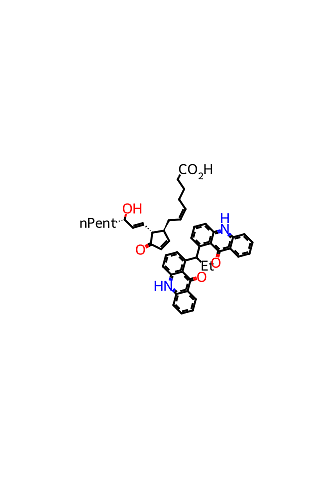 CCCCC[C@H](O)/C=C/[C@H]1C(=O)C=C[C@@H]1C/C=C\CCCC(=O)O.[CH2]CC(c1cccc2[nH]c3ccccc3c(=O)c12)c1cccc2[nH]c3ccccc3c(=O)c12